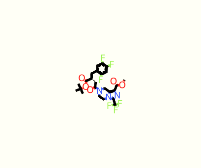 COC(=O)c1nc(C(F)(F)F)n2c1CN(C(=O)C[C@@H](Cc1cc(F)c(F)cc1F)C(=O)OC(C)(C)C)CC2